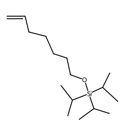 C=CCCCCCO[Si](C(C)C)(C(C)C)C(C)C